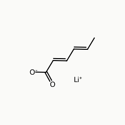 C/C=C/C=C/C(=O)[O-].[Li+]